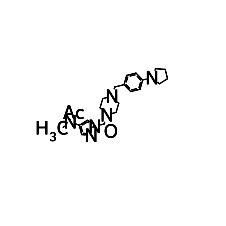 CC(=O)N(C)c1cnn(C(=O)N2CCN(Cc3ccc(N4CCCC4)cc3)CC2)c1